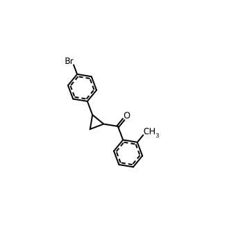 Cc1ccccc1C(=O)C1CC1c1ccc(Br)cc1